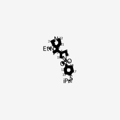 CCn1cc(C2CCN(S(=O)(=O)c3ccc(SC(C)C)cc3)C2)c2ccncc21